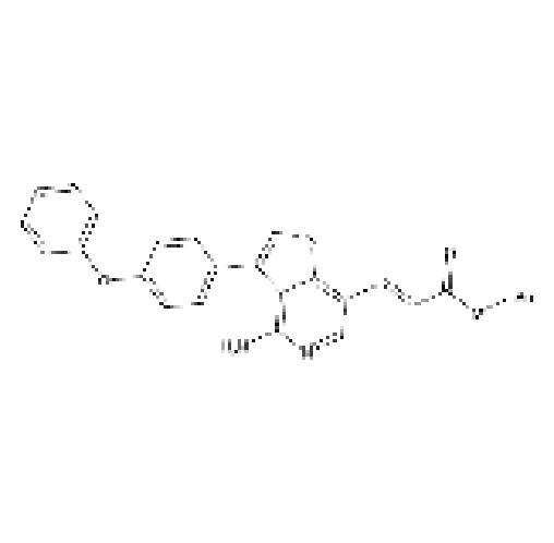 CCCCOC(=O)/C=C/c1cnc(N)c2c(-c3ccc(Oc4ccccc4)cc3)csc12